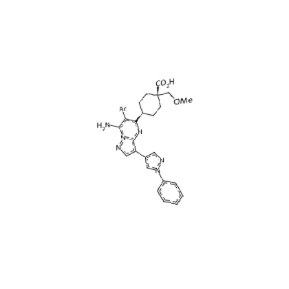 COC[C@]1(C(=O)O)CC[C@@H](c2nc3c(-c4cnn(-c5ccccc5)c4)cnn3c(N)c2C(C)=O)CC1